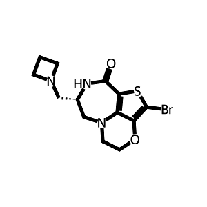 O=C1N[C@@H](CN2CCC2)CN2CCOc3c(Br)sc1c32